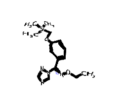 CCO/N=C(\c1cccc(OC[Si](C)(C)C)c1)n1cncn1